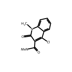 CNC(=O)c1c(Cl)c2ccccc2n(C)c1=O